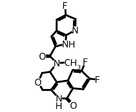 CN(C(=O)c1cc2cc(F)cnc2[nH]1)C1COCc2[nH]c(=O)c3cc(F)c(F)cc3c21